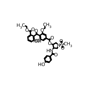 CCOC(=O)c1cccc(O)c1C(=O)c1c(O)cc(C(=O)OC2CN(S(C)(=O)=O)CC2NC(=O)c2ccc(O)cc2)cc1OCC